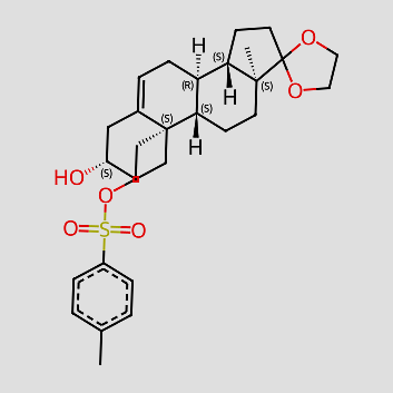 Cc1ccc(S(=O)(=O)OCC[C@]23CC[C@H](O)CC2=CC[C@@H]2[C@@H]3CC[C@@]3(C)[C@H]2CCC32OCCO2)cc1